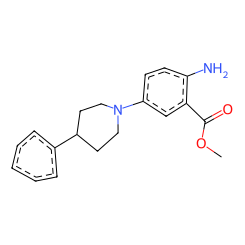 COC(=O)c1cc(N2CCC(c3ccccc3)CC2)ccc1N